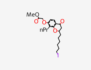 CCCc1c(OCC(=O)OC)ccc2c1OC(CCCCCCI)CC2=O